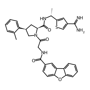 Cc1ccccc1[C@H]1C[C@@H](C(=O)N[C@H](C)c2cc(C(=N)N)cs2)N(C(=O)CNC(=O)c2ccc3oc4ccccc4c3c2)C1